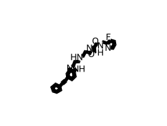 O=C(NCc1ncccc1F)c1coc(CCNCCc2nc3cc(C#Cc4ccccc4)ccc3[nH]2)n1